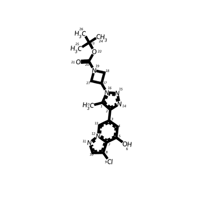 Cc1c(-c2cc(O)c3c(Cl)cnn3c2)nnn1C1CN(C(=O)OC(C)(C)C)C1